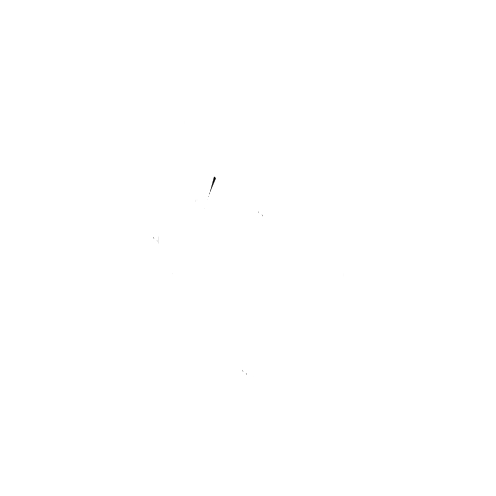 Cn1c2c(c3c(OCC#N)cc(Cl)c(Cl)c31)CC(=O)NC[C@H]2CCO